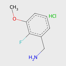 COc1cccc(CN)c1F.Cl